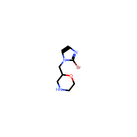 Brc1nc#cn1CC1CNCCO1